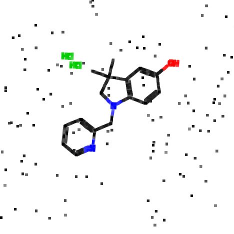 CC1(C)CN(Cc2ccccn2)c2ccc(O)cc21.Cl.Cl